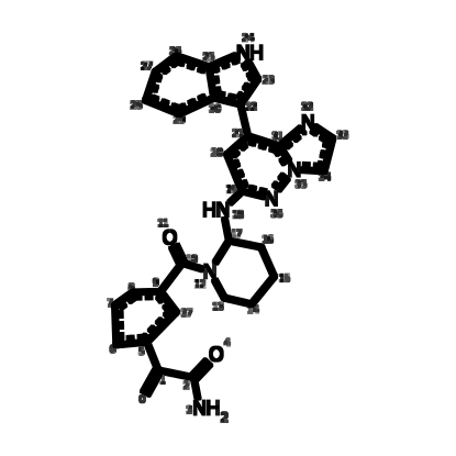 C=C(C(N)=O)c1cccc(C(=O)N2CCCCC2Nc2cc(-c3c[nH]c4ccccc34)c3nccn3n2)c1